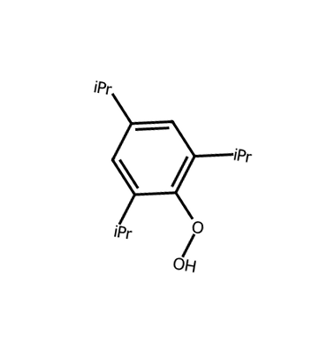 CC(C)c1cc(C(C)C)c(OO)c(C(C)C)c1